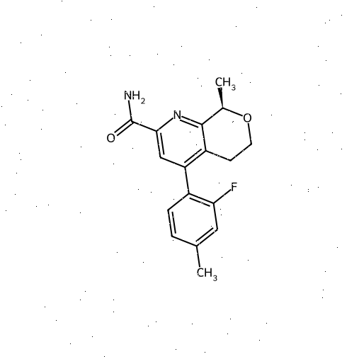 Cc1ccc(-c2cc(C(N)=O)nc3c2CCO[C@@H]3C)c(F)c1